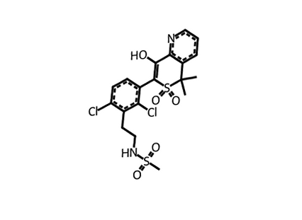 CC1(C)c2cccnc2C(O)=C(c2ccc(Cl)c(CCNS(C)(=O)=O)c2Cl)S1(=O)=O